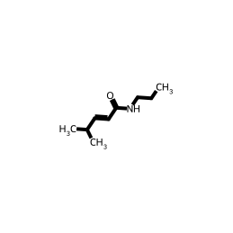 CCCNC(=O)C=CC(C)C